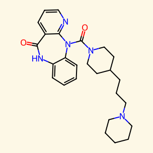 O=C1Nc2ccccc2N(C(=O)N2CCC(CCCN3CCCCC3)CC2)c2ncccc21